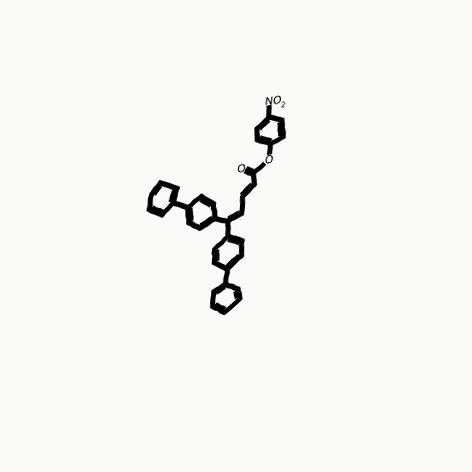 O=C(/C=C/C=C(c1ccc(-c2ccccc2)cc1)c1ccc(-c2ccccc2)cc1)Oc1ccc([N+](=O)[O-])cc1